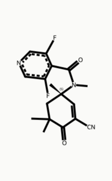 CN(C(=O)c1c(F)cncc1F)[C@]1(C)C=C(C#N)C(=O)C(C)(C)C1